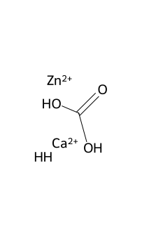 O=C(O)O.[Ca+2].[HH].[Zn+2]